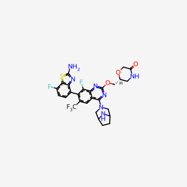 Nc1nc2c(-c3c(C(F)(F)F)cc4c(N5CC6CCC(C5)N6)nc(OC[C@H]5CNC(=O)CO5)nc4c3F)ccc(F)c2s1